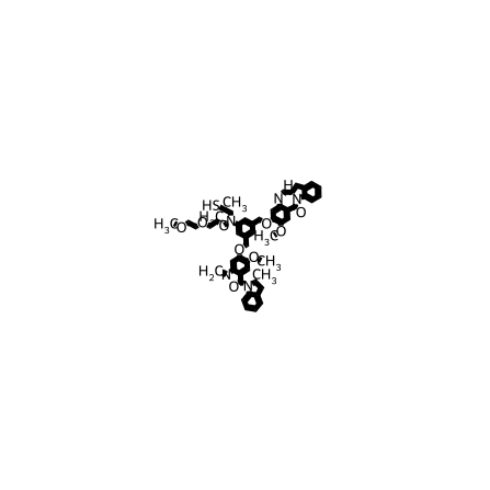 C=Nc1cc(OCc2cc(COc3cc4c(cc3OC)C(=O)N3c5ccccc5C[C@H]3C=N4)cc(N(CC(C)(C)S)OCCOCCOC)c2)c(OC)cc1C(=O)N1c2ccccc2C[C@H]1C